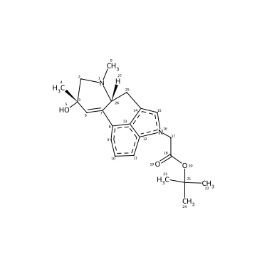 CN1C[C@@](C)(O)C=C2c3cccc4c3c(cn4CC(=O)OC(C)(C)C)C[C@H]21